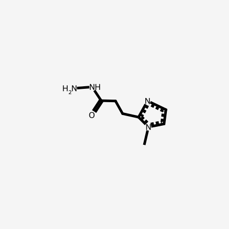 Cn1ccnc1CCC(=O)NN